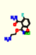 Cl.NCCOc1noc2ccc(F)c(C(N)=O)c12